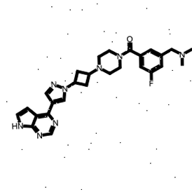 CN(C)Cc1cc(F)cc(C(=O)N2CCN(C3C[C](n4cc(-c5ncnc6[nH]ccc56)cn4)C3)CC2)c1